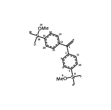 C=C(c1ccc([Si](C)(C)OC)cc1)c1ccc([Si](C)(C)OC)cc1